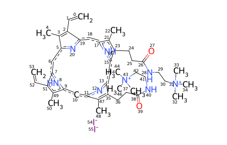 C=CC1=C(C)c2cc3[nH]c(cc4nc(cc5[nH]c(cc1n2)c(C)c5CCC(=O)NCC[N+](C)(C)C)C(CCC(=O)NCC[N+](C)(C)C)=C4C)c(C)c3C=C.[I-].[I-]